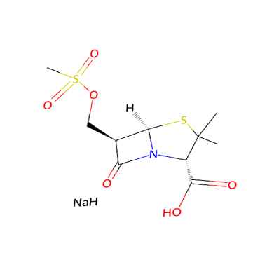 CC1(C)S[C@@H]2[C@H](COS(C)(=O)=O)C(=O)N2[C@H]1C(=O)O.[NaH]